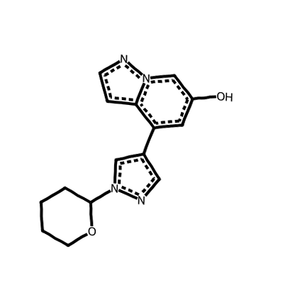 Oc1cc(-c2cnn(C3CCCCO3)c2)c2ccnn2c1